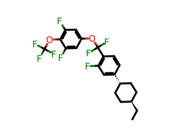 CC[C@H]1CC[C@H](c2ccc(C(F)(F)Oc3cc(F)c(OC(F)(F)F)c(F)c3)c(F)c2)CC1